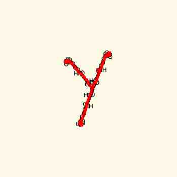 O=C(CCCCCCCNC(=O)CCOCC(COCCC(=O)NCCCCCCCC(=O)NCCOCCOCCOCCC(=O)ON1C(=O)CCC1=O)COCCC(=O)NCCCCCCCC(=O)NCCOCCOCCOCCC(=O)ON1C(=O)CCC1=O)NCCOCCOCCOCCC(=O)ON1C(=O)CCC1=O